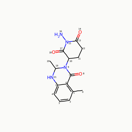 Cc1cccc2c1C(=O)N(C1CCC(=O)N(N)C1=O)C(C)N2